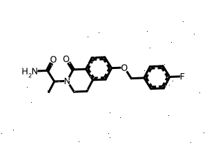 CC(C(N)=O)N1CCc2cc(OCc3ccc(F)cc3)ccc2C1=O